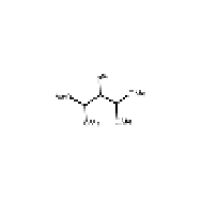 [CH2]CC[C](C(OC)OC)C(OC)OC